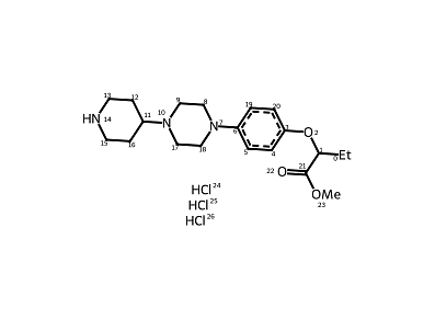 CCC(Oc1ccc(N2CCN(C3CCNCC3)CC2)cc1)C(=O)OC.Cl.Cl.Cl